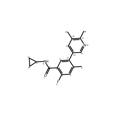 Cc1cc(F)c(C(=O)NC2CC2)cc1-c1cnc(C)c(C)c1